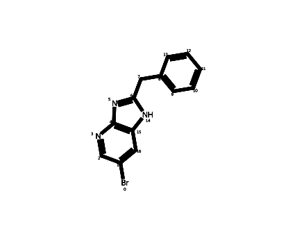 Brc1cnc2nc(Cc3ccccc3)[nH]c2c1